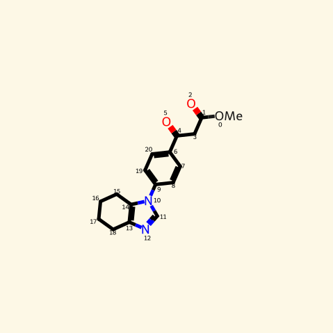 COC(=O)CC(=O)c1ccc(-n2cnc3c2CCCC3)cc1